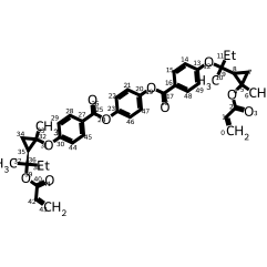 C=CC(=O)OC1(C)CC1C(C)(CC)Oc1ccc(C(=O)Oc2ccc(OC(=O)c3ccc(OC4(C)C[C@@H]4C(C)(CC)OC(=O)C=C)cc3)cc2)cc1